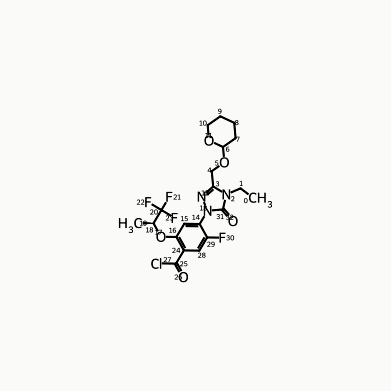 CCn1c(COC2CCCCO2)nn(-c2cc(O[C@@H](C)C(F)(F)F)c(C(=O)Cl)cc2F)c1=O